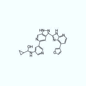 OC(Nc1cncc(-c2cc3c(-c4nc5c(-c6ccoc6)ccnc5[nH]4)n[nH]c3cn2)c1)C1CC1